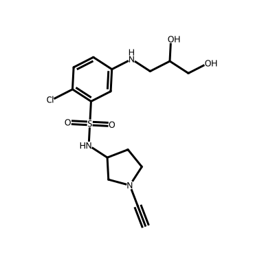 C#CN1CCC(NS(=O)(=O)c2cc(NCC(O)CO)ccc2Cl)C1